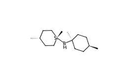 C[C@H]1CC[C@@](C)(B[Si@]2(C)CC[C@H](C)CC2)CC1